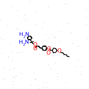 CCCCCCOC1CCC(C(=O)Oc2ccc(/C=C/C(=O)OCC(C)(C)c3ccc(N)cc3N)cc2)CC1